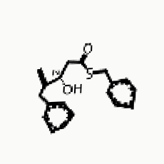 C=C(Cc1ccccc1)[C@@H](O)CC(=O)SCc1ccccc1